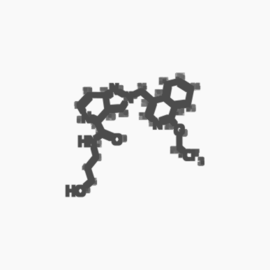 O=C(NCCCO)c1nccc2nn(Cc3cnc(OCC(F)(F)F)c4ccccc34)cc12